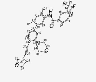 Cc1cc(F)c(NC(=O)c2ccnc(C(F)(F)F)c2)cc1-c1cnc(C#C[C@H]2CCOC2)c(N2CCOCC2)c1